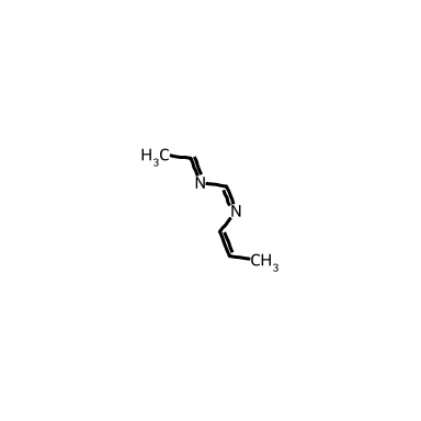 C\C=C/N=C\N=C\C